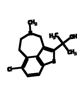 CN1CCc2c(Cl)ccc3sc(C(C)(C)O)c(c23)C1